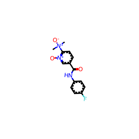 C[N+](C)([O-])c1ccc(C(=O)Nc2ccc(F)cc2)c[n+]1[O-]